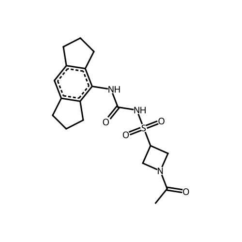 CC(=O)N1CC(S(=O)(=O)NC(=O)Nc2c3c(cc4c2CCC4)CCC3)C1